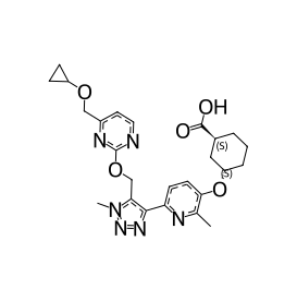 Cc1nc(-c2nnn(C)c2COc2nccc(COC3CC3)n2)ccc1O[C@H]1CCC[C@H](C(=O)O)C1